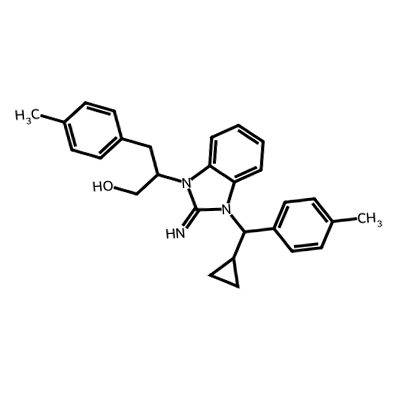 Cc1ccc(CC(CO)n2c(=N)n(C(c3ccc(C)cc3)C3CC3)c3ccccc32)cc1